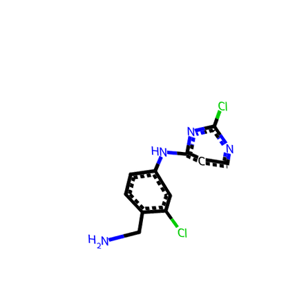 NCc1ccc(Nc2ccnc(Cl)n2)cc1Cl